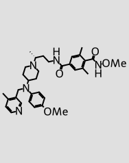 CONC(=O)c1c(C)cc(C(=O)NCC[C@@H](C)N2CCC(N(Cc3cnccc3C)c3ccc(OC)cc3)CC2)cc1C